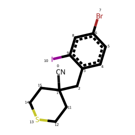 N#CC1(Cc2ccc(Br)cc2I)CCSCC1